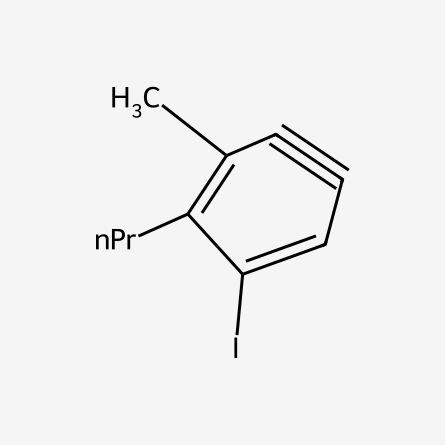 CCCc1c(C)c#ccc1I